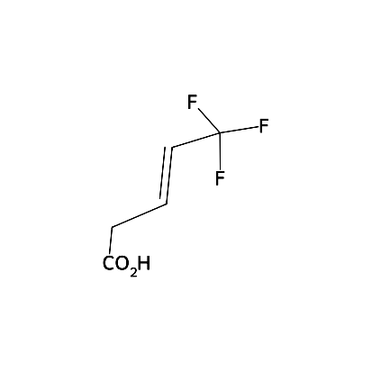 O=C(O)CC=CC(F)(F)F